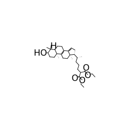 CCOC(=O)C(CCC[C@@H](C)[C@H]1CC=C2C3=C(CC[C@@]21C)[C@@]1(C)CC[C@@H](O)C(C)(C)[C@@H]1CC3)C(=O)OCC